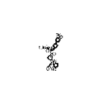 COCCCn1c([C@@H]2CCCN(C(=O)C[C@@H](Cc3ccc(-c4ccc(S(C)(=O)=O)cc4)cc3)NC(=O)OC(C)(C)C)C2)nc2ccccc21